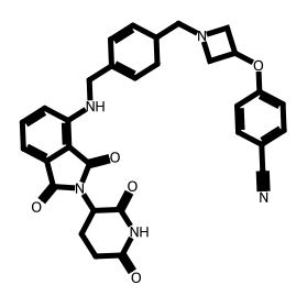 N#Cc1ccc(OC2CN(CC3C=CC(CNc4cccc5c4C(=O)N(C4CCC(=O)NC4=O)C5=O)=CC3)C2)cc1